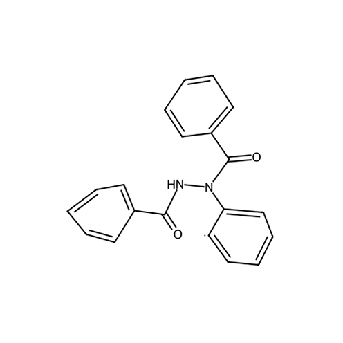 O=C(NN(C(=O)c1ccccc1)c1[c]cccc1)c1ccccc1